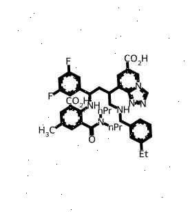 CCCN(CCC)C(=O)c1cc(C)cc(C(=O)O)c1NC(CC(CNCc1cccc(CC)c1)c1cc(C(=O)O)cn2cnnc12)c1cc(F)cc(F)c1